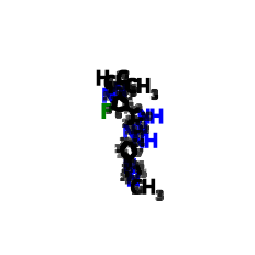 Cc1nc2c(F)cc(-c3c[nH]c4nc(Nc5cccc(N6CCN(C)CC6)c5)ncc34)cc2n1C(C)C